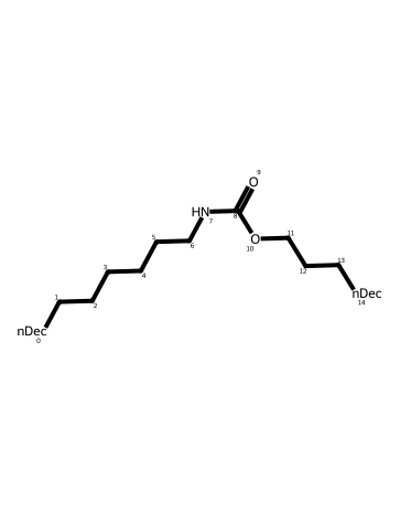 CCCCCCCCCCCCCCCCNC(=O)OCCCCCCCCCCCCC